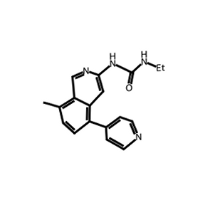 CCNC(=O)Nc1cc2c(-c3ccncc3)ccc(C)c2cn1